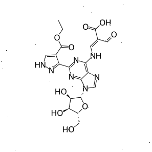 CCOC(=O)c1c[nH]nc1-c1nc(N/C=C(\C=O)C(=O)O)c2ncn([C@@H]3O[C@H](CO)[C@@H](O)[C@H]3O)c2n1